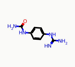 N=C(N)Nc1ccc(NC(N)=O)cc1